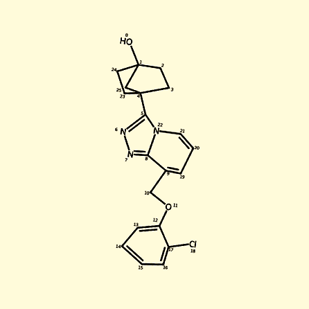 OC12CCC(c3nnc4c(COc5ccccc5Cl)cccn34)(CC1)C2